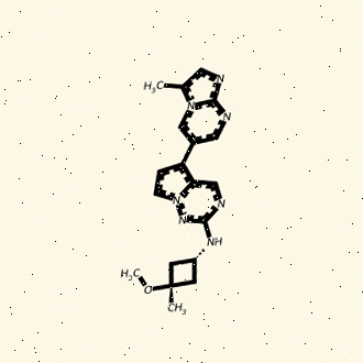 CO[C@]1(C)C[C@H](Nc2ncc3c(-c4cnc5ncc(C)n5c4)ccn3n2)C1